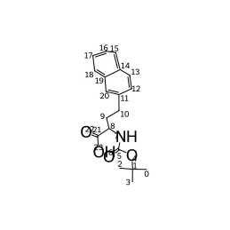 CC(C)(C)OC(=O)NC(CCc1ccc2ccccc2c1)C(=O)O